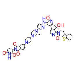 COc1ncc(-c2ccnc(N3CCc4c(sc5c4CCCC5)C3=O)c2C(C)(C)O)cc1Nc1ccc(N2CCN(C3CCN(c4ccc5c(c4)C(=O)N(C4CCC(=O)NC4=O)C5=O)[C@@H](C)C3)C[C@@H]2C)cn1